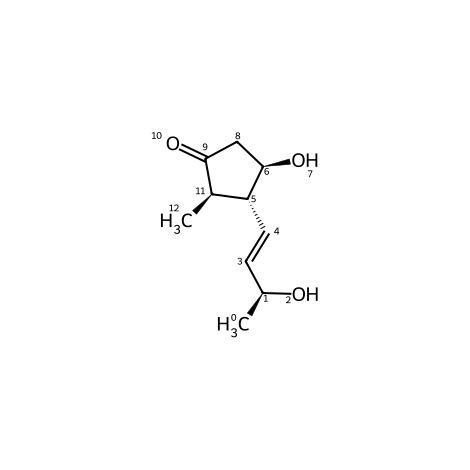 C[C@H](O)/C=C/[C@H]1[C@H](O)CC(=O)[C@@H]1C